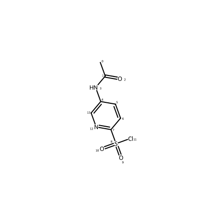 CC(=O)Nc1ccc(S(=O)(=O)Cl)nc1